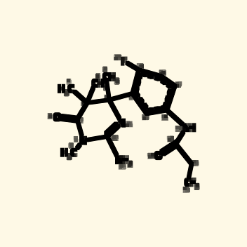 CN1C(=O)C(C)(C)C(C)(c2cc(NC(=O)CC(F)(F)F)ccc2F)N=C1N